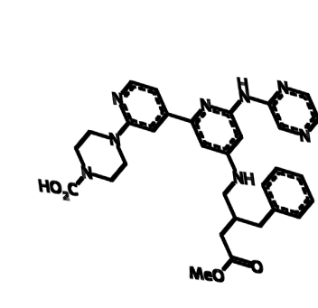 COC(=O)CC(CNc1cc(Nc2cnccn2)nc(-c2ccnc(N3CCN(C(=O)O)CC3)c2)c1)Cc1ccccc1